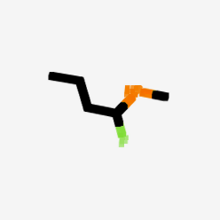 CCCC(F)PC